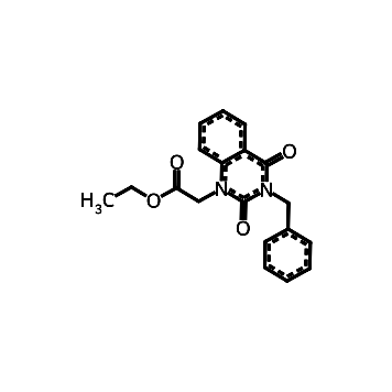 CCOC(=O)Cn1c(=O)n(Cc2ccccc2)c(=O)c2ccccc21